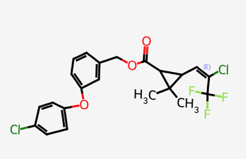 CC1(C)C(/C=C(/Cl)C(F)(F)F)C1C(=O)OCc1cccc(Oc2ccc(Cl)cc2)c1